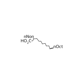 CCCCCCCC/C=C\CCCCCCCC(CCCCCCCCC)CC(=O)O